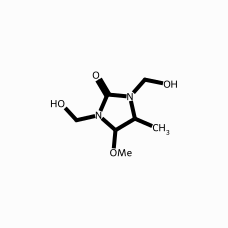 COC1C(C)N(CO)C(=O)N1CO